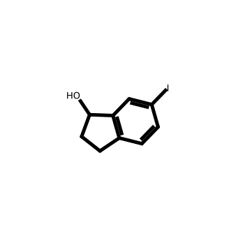 OC1CCc2ccc(I)cc21